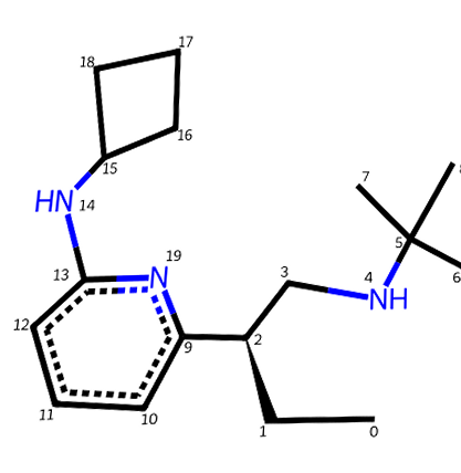 CC[C@H](CNC(C)(C)C)c1cccc(NC2CCC2)n1